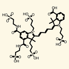 CC1(CCCS(=O)(=O)O)C(/C=C/C=C/C=C2/N(CCCS(=O)(=O)O)c3cccc(C(=O)O)c3C2(C)C)=[N+](CCCS(=O)(=O)O)c2cc(C(=O)NCCS(=O)(=O)O)cc(C(=O)NCCS(=O)(=O)O)c21